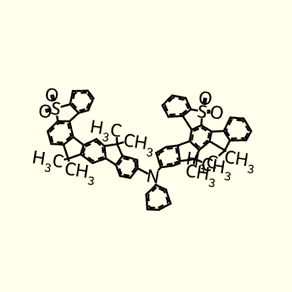 CC1(C)c2cc(N(c3ccccc3)c3ccc4c(c3)C(C)(C)c3c-4c4c(c5c3C(C)(C)c3ccccc3-5)S(=O)(=O)c3ccccc3-4)ccc2-c2cc3c(cc21)-c1c(ccc2c1-c1ccccc1S2(=O)=O)C3(C)C